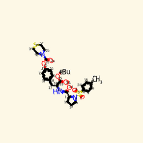 Cc1ccc(S(=O)(=O)N2CCC[C@H]2C(=O)N[C@@H](Cc2ccc(OC(=O)N3CCSCC3)cc2)C(=O)OC(C)(C)C)cc1